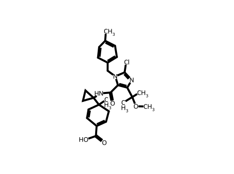 COC(C)(C)c1nc(Cl)n(Cc2ccc(C)cc2)c1C(=O)NC1(C2(C)C=CC(C(=O)O)=CC2)CC1